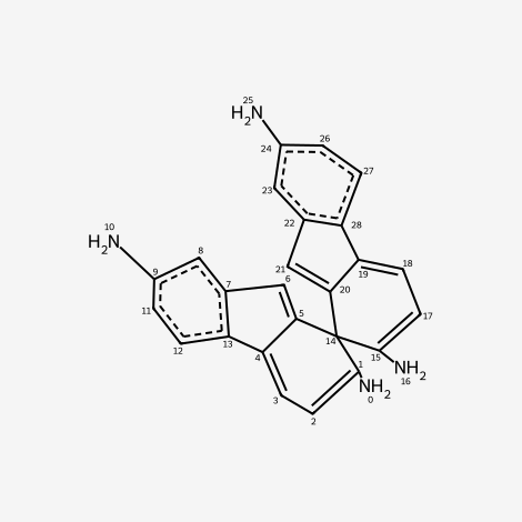 NC1=CC=C2C(=Cc3cc(N)ccc32)C12C(N)=CC=C1C2=Cc2cc(N)ccc21